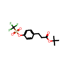 CC(C)(C)OC(=O)CCc1ccc(OS(=O)(=O)C(F)(F)F)cc1